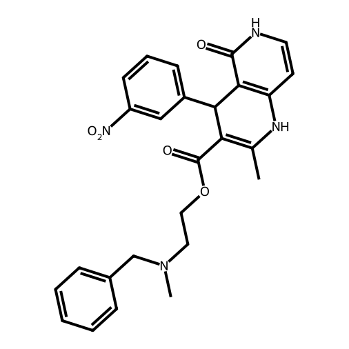 CC1=C(C(=O)OCCN(C)Cc2ccccc2)C(c2cccc([N+](=O)[O-])c2)c2c(cc[nH]c2=O)N1